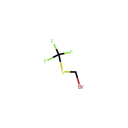 FC(F)(F)SCBr